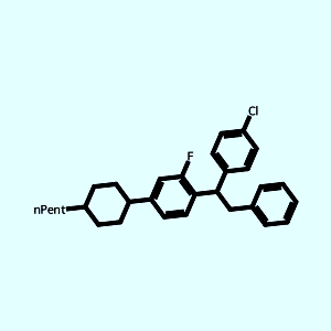 CCCCCC1CCC(c2ccc(C(Cc3ccccc3)c3ccc(Cl)cc3)c(F)c2)CC1